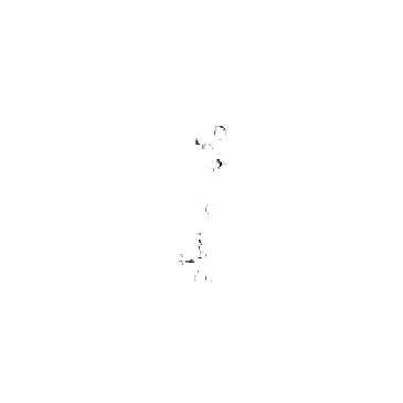 COC(=S)SSCCOCCSSC(=S)OC